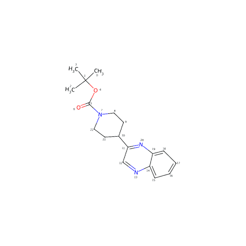 CC(C)(C)OC(=O)N1CCC(c2cnc3ccccc3n2)CC1